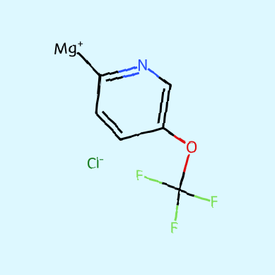 FC(F)(F)Oc1cc[c]([Mg+])nc1.[Cl-]